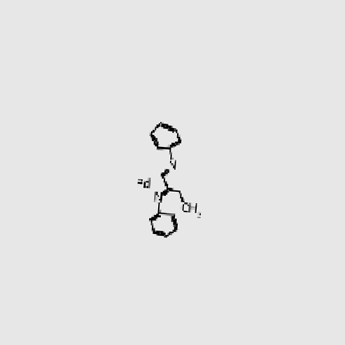 CCC(/C=N/c1ccccc1)=N\c1ccccc1.[Pd]